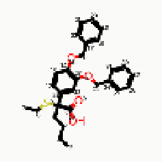 CCCCC(SCC)(C(=O)O)c1ccc(OCc2ccccc2)c(OCc2ccccc2)c1